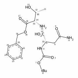 CC(C)(C)OC(=O)N[C@@H](CC(N)=O)C(=O)O.C[C@@H](O)[C@H](N)C(=O)OCc1ccccc1